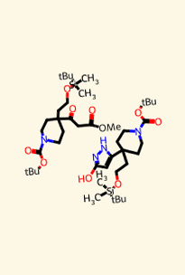 CC(C)(C)OC(=O)N1CCC(CCO[Si](C)(C)C(C)(C)C)(c2cc(O)n[nH]2)CC1.COC(=O)CC(=O)C1(CCO[Si](C)(C)C(C)(C)C)CCN(C(=O)OC(C)(C)C)CC1